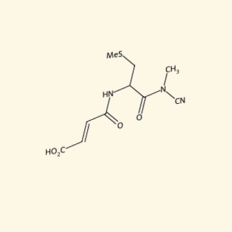 CSCC(NC(=O)C=CC(=O)O)C(=O)N(C)C#N